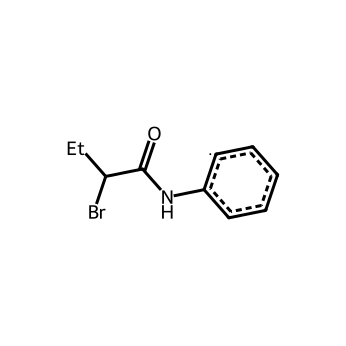 CCC(Br)C(=O)Nc1[c]cccc1